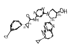 O=C(Nc1cc(N2C[C@@H](O)C[C@@H]2c2cn3nc(C4CC4)ccc3n2)ncn1)[C@H]1C[C@@H]1c1cccc(Cl)c1